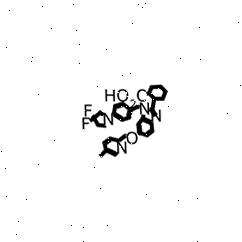 Cc1ccc(COc2ccc3nc(C4CCCCC4C(=O)O)n(Cc4ccc(N5CCC(F)(F)C5)cc4)c3c2)nc1